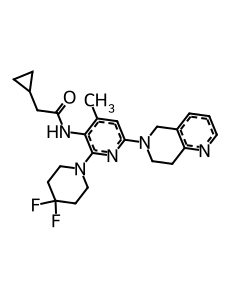 Cc1cc(N2CCc3ncccc3C2)nc(N2CCC(F)(F)CC2)c1NC(=O)CC1CC1